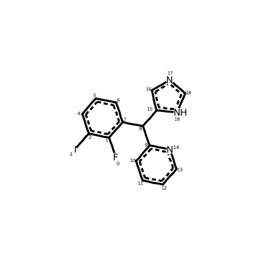 Fc1c(I)cccc1C(c1ccccn1)c1cnc[nH]1